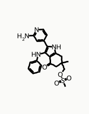 CC1(COS(C)(=O)=O)CC(=O)c2c([nH]c(-c3ccnc(N)c3)c2Nc2ccccc2)C1